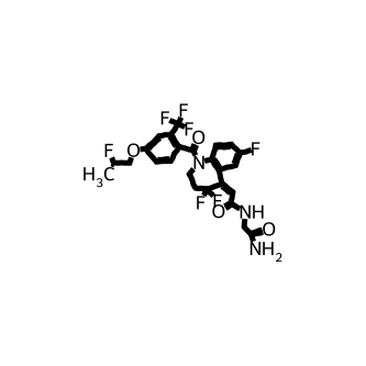 C[C@@H](F)COc1ccc(C(=O)N2CCC(F)(F)C(=CC(=O)NCC(N)=O)c3cc(F)ccc32)c(C(F)(F)F)c1